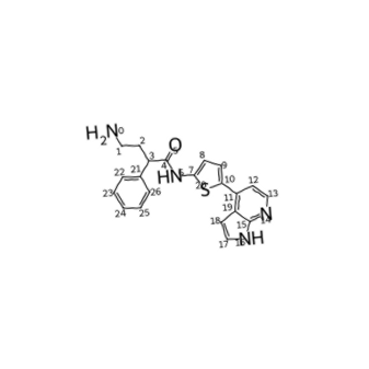 NCCC(C(=O)Nc1ccc(-c2ccnc3[nH]ccc23)s1)c1ccccc1